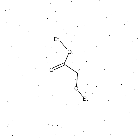 [CH2]COC(=O)COCC